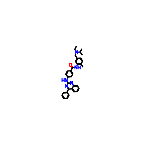 CCN(Cc1ccc(C)c(NC(=O)c2ccc(Nc3nc(-c4ccccc4)c4ccccc4n3)cc2)c1)C(C)C